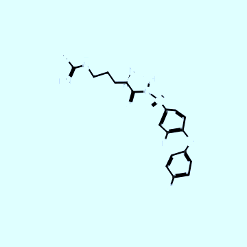 N=C(N)NCCC[C@@H](N)C(=O)N(O)S(=O)(=O)c1ccc(Oc2ccc(Cl)cc2)c(F)c1